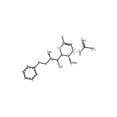 CC(=O)N[C@H]1C(C(O)[C@H](O)CCc2ccccc2)OC(C)=C[C@@H]1NC(=N)N